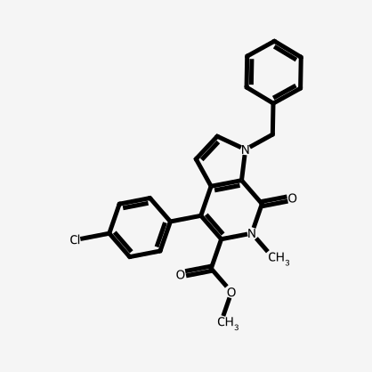 COC(=O)c1c(-c2ccc(Cl)cc2)c2ccn(Cc3ccccc3)c2c(=O)n1C